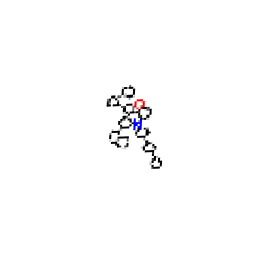 c1ccc(-c2ccc(-c3ccc(N(c4cccc(-c5cccc6ccccc56)c4)c4cccc5oc6cc(-c7ccccc7-c7ccccc7)ccc6c45)cc3)cc2)cc1